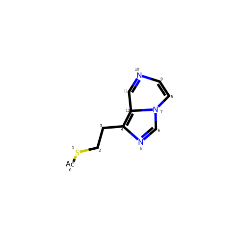 CC(=O)SCCc1ncn2ccncc12